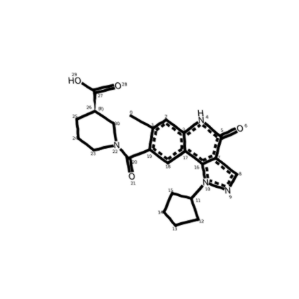 Cc1cc2[nH]c(=O)c3cnn(C4CCCC4)c3c2cc1C(=O)N1CCC[C@@H](C(=O)O)C1